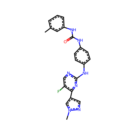 Cc1cccc(NC(=O)Nc2ccc(Nc3ncc(F)c(-c4cnn(C)c4)n3)cc2)c1